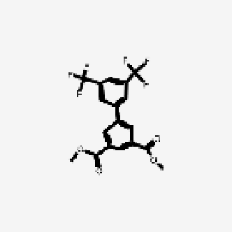 COC(=O)c1cc(C(=O)OC)cc(-c2cc(C(F)(F)F)cc(C(F)(F)F)c2)c1